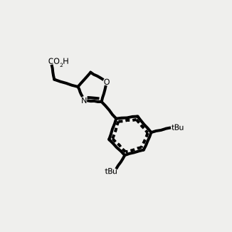 CC(C)(C)c1cc(C2=NC(CC(=O)O)CO2)cc(C(C)(C)C)c1